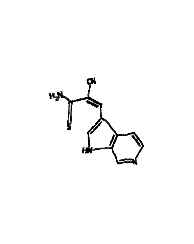 N#CC(=Cc1c[nH]c2cnccc12)C(N)=S